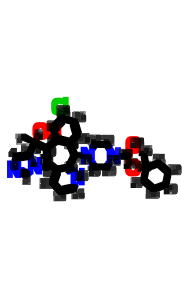 Cn1cncc1[C@](C)(O)C1=Cc2cccnc2[C@@H](N2CCN(C(=O)OC3(C)CCCCC3)CC2)c2ccc(Cl)cc21